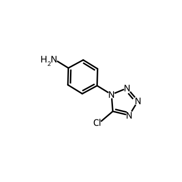 Nc1ccc(-n2nnnc2Cl)cc1